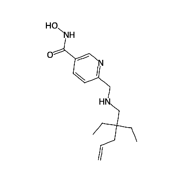 C=CCC(CC)(CC)CNCc1ccc(C(=O)NO)cn1